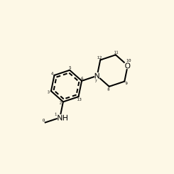 CNc1cccc(N2CCOCC2)c1